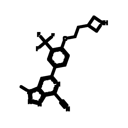 Cn1nnc2c(C#N)nc(-c3ccc(OCCC4CNC4)c(C(F)(F)F)c3)cc21